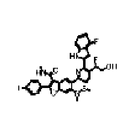 CNC(=O)c1c(-c2ccc(F)cc2)oc2cc(N(C)SC)c(-c3ccc(C(F)CO)c(-c4cc5c(F)cccc5[nH]4)n3)cc12